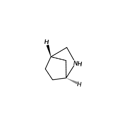 C1C[C@H]2C[C@H]1CN2